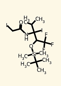 CC(C)C(I)(NC(=O)CI)C(O[Si](C)(C)C(C)(C)C)C(F)(F)F